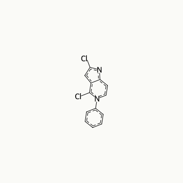 Clc1cc2c(Cl)n(-c3ccccc3)ccc-2n1